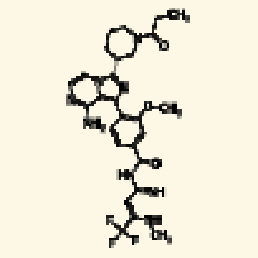 CCC(=O)N1CCC[C@@H](c2nc(-c3ccc(C(=O)NC(=N)/C=C(\NC)C(F)(F)F)cc3OC)c3c(N)nccn23)C1